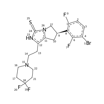 Fc1ccc(Br)c(F)c1[C@H]1Cc2c(CCN3CCC(F)(F)CC3)[nH]c(=S)n2C1